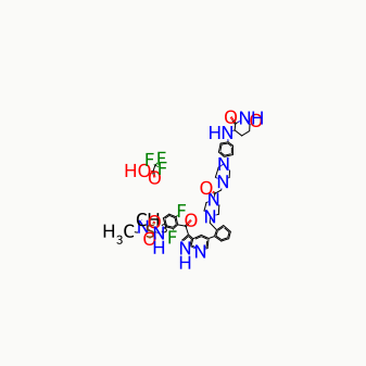 CCN(C)S(=O)(=O)Nc1ccc(F)c(C(=O)c2c[nH]c3ncc(-c4ccccc4CN4CCN(C(=O)CN5CCN(c6ccc(NC7CCC(=O)NC7=O)cc6)CC5)CC4)cc23)c1F.O=C(O)C(F)(F)F